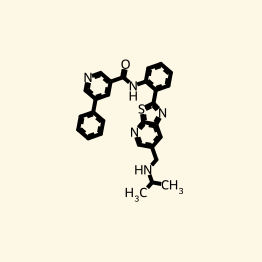 CC(C)NCc1cnc2sc(-c3ccccc3NC(=O)c3cncc(-c4ccccc4)c3)nc2c1